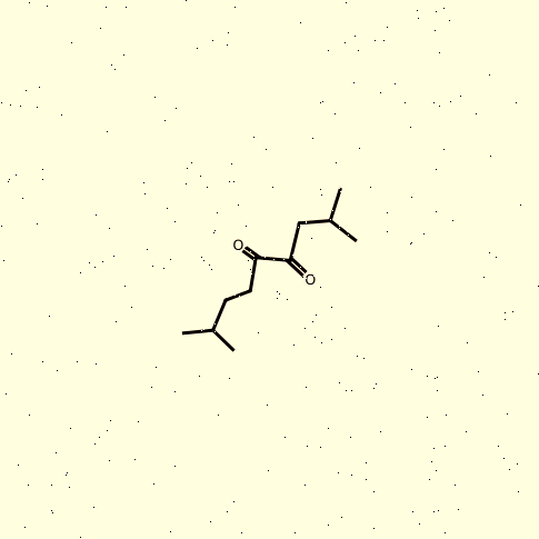 CC(C)CCC(=O)C(=O)CC(C)C